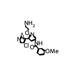 COc1cccc(C(=O)Nc2cnc(OCCN)c(-c3c(Cl)cnn3C)c2)c1